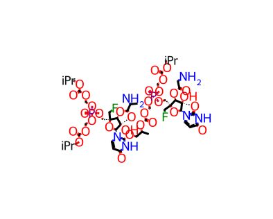 CC(C)OC(=O)OCOP(=O)(OCOC(=O)OC(C)C)OC[C@@]1(CF)O[C@@H](N2C=CC(=O)NC2OCC(C)OC(=O)OCOP(=O)(OCOC(=O)OC(C)C)OC[C@@]2(CF)O[C@@H](n3ccc(=O)[nH]c3=O)[C@](C)(O)[C@@H]2OC(=O)CN)[C@](C)(O)[C@@H]1OC(=O)C(C)N